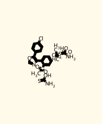 C.C#CC.CS(=O)(=O)c1ccccc1-c1ncoc1-c1ccc(Cl)cc1.NC(O)=S.NC(O)=S.O